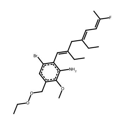 CCOOCc1cc(Br)c(/C=C(\CC)C/C(=C/C=C(\C)F)CC)c(N)c1OC